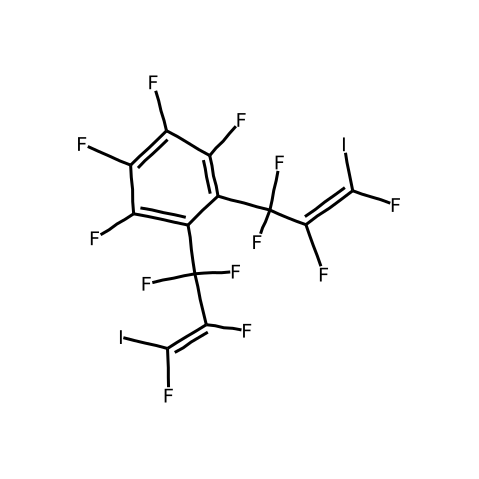 FC(I)=C(F)C(F)(F)c1c(F)c(F)c(F)c(F)c1C(F)(F)C(F)=C(F)I